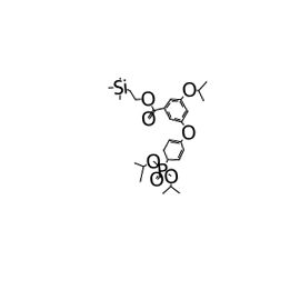 CC(C)Oc1cc(OC2=CCC(P(=O)(OC(C)C)OC(C)C)C=C2)cc(C(=O)OCC[Si](C)(C)C)c1